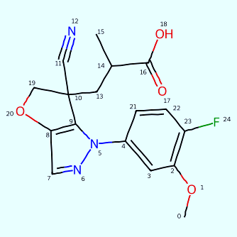 COc1cc(-n2ncc3c2C(C#N)(CC(C)C(=O)O)CO3)ccc1F